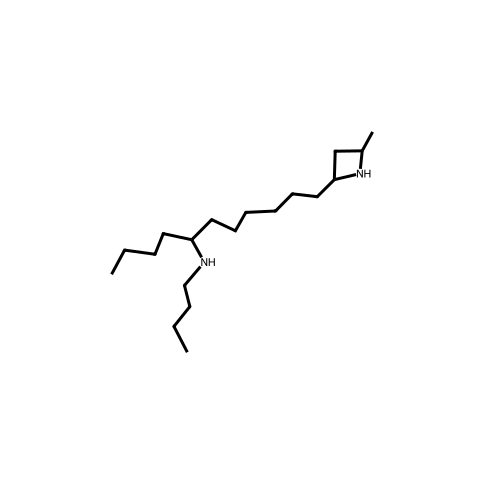 CCCCNC(CCCC)CCCCCCC1CC(C)N1